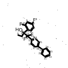 CCC(O)(c1ccc(F)cc1F)C(F)(F)c1ccc(-c2ccccc2)cn1